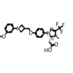 COc1cccc(N2CC(COc3ccc(N4N=C(C(F)(F)F)[C@@H](C)[C@@H]4CC(=O)O)cc3)C2)c1